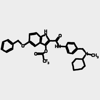 CN(Cc1ccc(NC(=O)c2[nH]c3ccc(OCc4ccccc4)cc3c2OC(=O)C(F)(F)F)cc1)C1CCCCC1